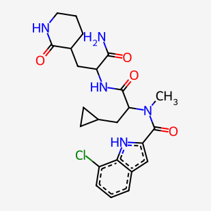 CN(C(=O)c1cc2cccc(Cl)c2[nH]1)C(CC1CC1)C(=O)NC(CC1CCCNC1=O)C(N)=O